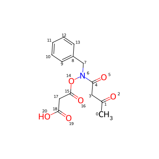 CC(=O)CC(=O)N(Cc1ccccc1)OC(=O)CC(=O)O